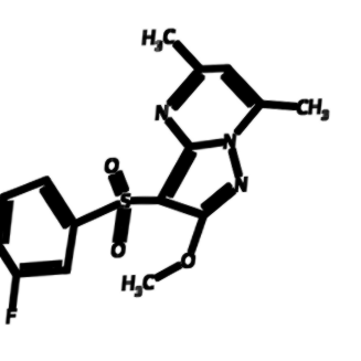 COc1nn2c(C)cc(C)nc2c1S(=O)(=O)c1cccc(F)c1